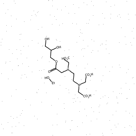 CCO.O=C(O)CN(CCN(CC(=O)O)CC(=O)OCC(O)CO)CC(=O)O